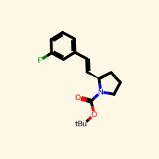 CC(C)(C)OC(=O)N1CCC[C@@H]1/C=C/c1cccc(F)c1